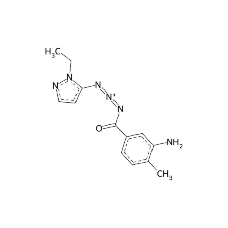 CCn1nccc1N=[N+]=NC(=O)c1ccc(C)c(N)c1